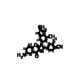 Cc1cc(-n2c(-c3ccc(C#N)c(F)c3)nc(C(=O)N3CCC[C@@H](N)C3)c2C)cc2cn(C)nc12